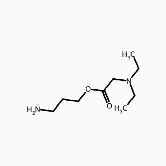 CCN(CC)CC(=O)OCCCN